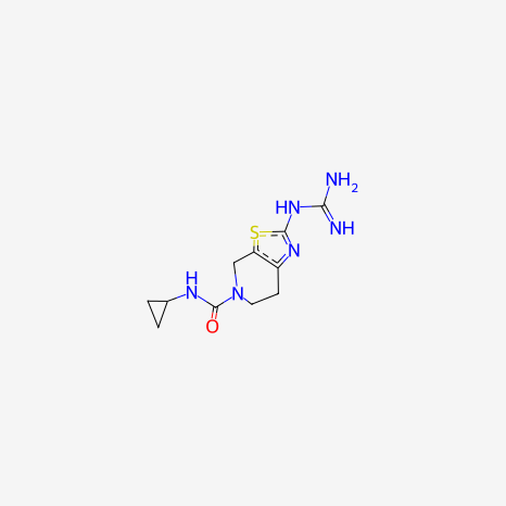 N=C(N)Nc1nc2c(s1)CN(C(=O)NC1CC1)CC2